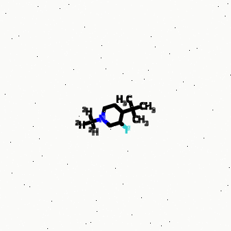 [2H]C([2H])([2H])N1CCC(C(C)(C)C)C(F)C1